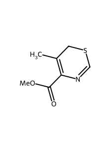 COC(=O)C1=C(C)CSC=N1